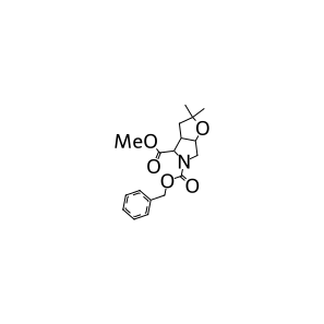 COC(=O)C1C2CC(C)(C)OC2CN1C(=O)OCc1ccccc1